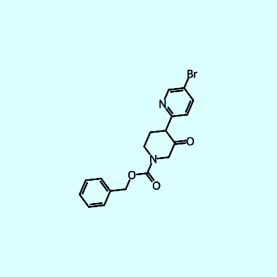 O=C1CN(C(=O)OCc2ccccc2)CCC1c1ccc(Br)cn1